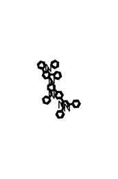 c1ccc(-c2cc(-c3ccc4c5cc(-n6c7ccccc7c7c6ccc6c8ccccc8n(-c8ccccc8)c67)ccc5n(-c5ccccc5)c4c3)nc(-c3ccccc3)n2)cc1